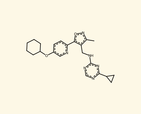 Cc1noc(-c2ccc(OC3CCCCC3)cn2)c1CNc1ncnc(C2CC2)n1